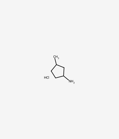 CC1CCC(N)C1.Cl